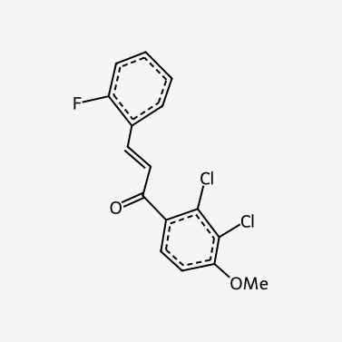 COc1ccc(C(=O)/C=C/c2ccccc2F)c(Cl)c1Cl